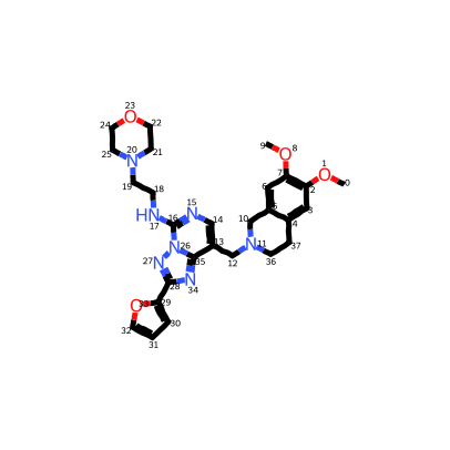 COc1cc2c(cc1OC)CN(Cc1cnc(NCCN3CCOCC3)n3nc(-c4ccco4)nc13)CC2